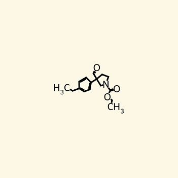 CCOC(=O)N1CCC(C=O)(c2ccc(CC)cc2)C1